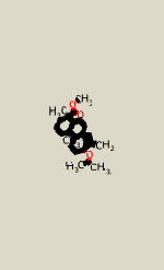 C=C1CC23CCC4C(C)(C(=O)OC)CCCC4(C)C2CCC1(OC(C)C)C3